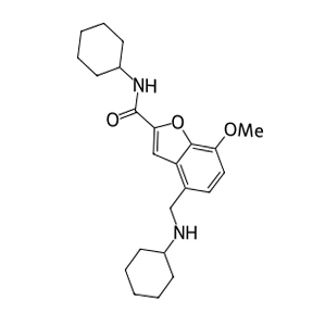 COc1ccc(CNC2CCCCC2)c2cc(C(=O)NC3CCCCC3)oc12